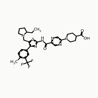 CCC1CCCN1Cc1sc(NC(=O)c2cnc(N3CCC(C(=O)O)CC3)cn2)nc1-c1ccc(C)c(C(F)(F)F)c1